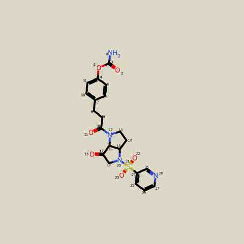 NC(=O)Oc1ccc(C[CH]C(=O)N2CCC3C2C(=O)CN3S(=O)(=O)c2cccnc2)cc1